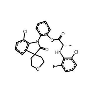 C[C@H](Nc1c(F)cccc1Cl)C(=O)Oc1ccccc1N1C(=O)C2(CCOCC2)c2cccc(Cl)c21